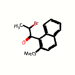 COc1ccc2ccccc2c1C(=O)C(C)Br